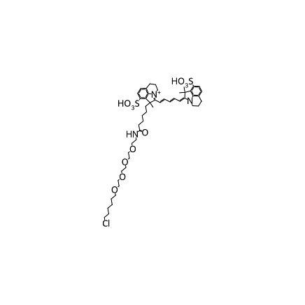 CC1(CCCCCC(=O)NCCOCCOCCOCCOCCCCCCCl)C(/C=C/C=C/C=C2/N3CCCc4ccc(S(=O)(=O)O)c(c43)C2(C)C)=[N+]2CCCc3ccc(S(=O)(=O)O)c1c32